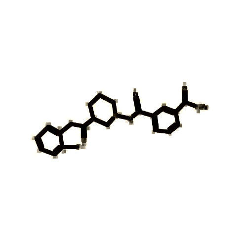 COC(=O)c1cccc(C(=O)ON2CCCC(C(=O)Cc3ccccc3F)C2)c1